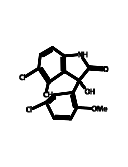 COc1ccc(Cl)cc1C1(O)C(=O)Nc2ccc(Cl)c(C)c21